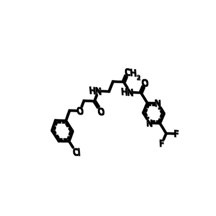 C=C(CCNC(=O)COCc1cccc(Cl)c1)NC(=O)c1cnc(C(F)F)cn1